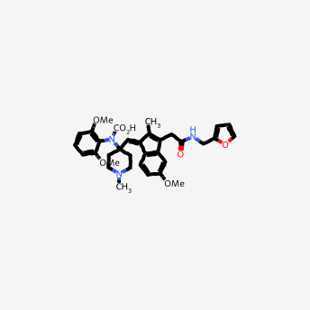 COc1ccc2c(c1)C(CC(=O)NCc1ccco1)=C(C)/C2=C/C1(N(C(=O)O)c2c(OC)cccc2OC)CCN(C)CC1